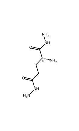 NNC(=O)CC[C@@H](N)C(=O)NN